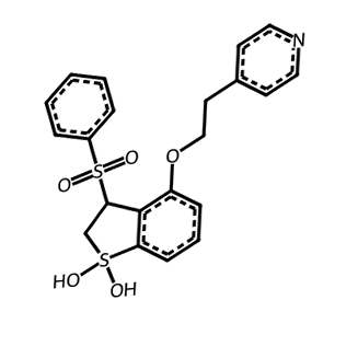 O=S(=O)(c1ccccc1)C1CS(O)(O)c2cccc(OCCc3ccncc3)c21